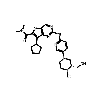 CCN1CCN(c2ccc(Nc3ncc4sc(C(=O)N(C)C)c(C5CCCC5)c4n3)nc2)C[C@@H]1CO